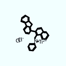 [Cl-].[Cl-].[Ti+2][N](Cc1c(-c2cccc3c2Cc2ccccc2-3)ccc2ccccc12)c1ccccc1